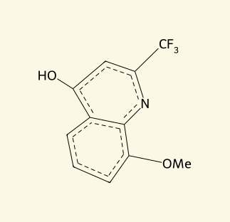 COc1cccc2c(O)cc(C(F)(F)F)nc12